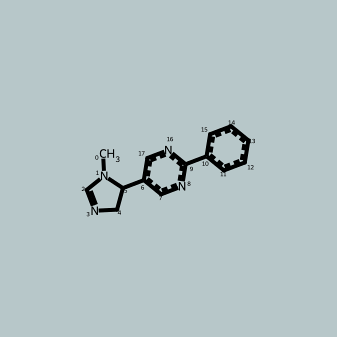 CN1C=NCC1c1cnc(-c2ccccc2)nc1